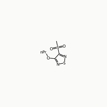 CCCOc1nsnc1S(C)(=O)=O